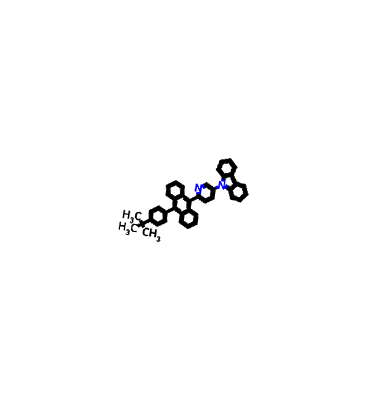 CC(C)(C)c1ccc(-c2c3ccccc3c(-c3ccc(-n4c5ccccc5c5ccccc54)cn3)c3ccccc23)cc1